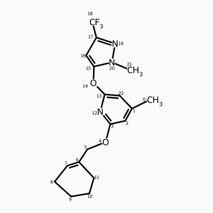 Cc1cc(OCC2=CCCCC2)nc(Oc2cc(C(F)(F)F)nn2C)c1